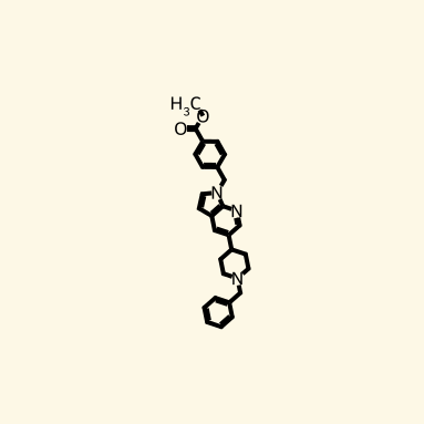 COC(=O)c1ccc(Cn2ccc3cc(C4CCN(Cc5ccccc5)CC4)cnc32)cc1